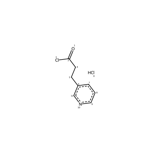 Cl.O=C(Cl)CCc1cccnc1